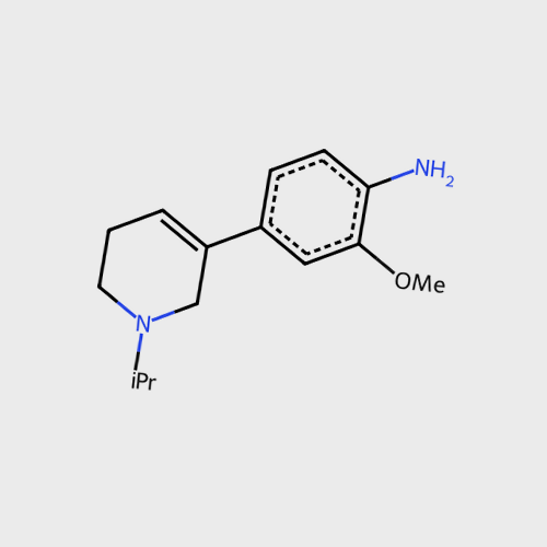 COc1cc(C2=CCCN(C(C)C)C2)ccc1N